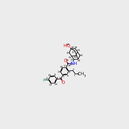 CCCc1cc(C(=O)c2ccc(F)cc2)ccc1C(=O)NC1C2CC3CC1CC(O)(C3)C2